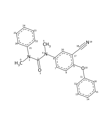 CN(C(=O)N(C)c1ccc(Oc2ccccc2)c(C#N)c1)c1ccccc1